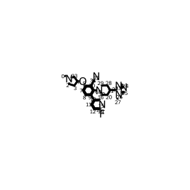 CN1CCC(Oc2ccc(-c3ccc(F)nc3)c(N3CCC(c4nncn4C)CC3)c2C#N)C1